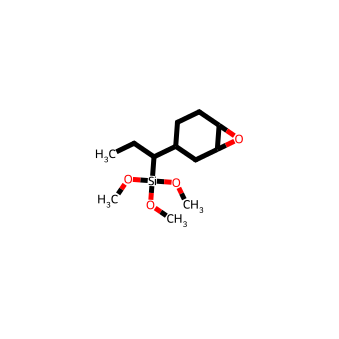 CCC(C1CCC2OC2C1)[Si](OC)(OC)OC